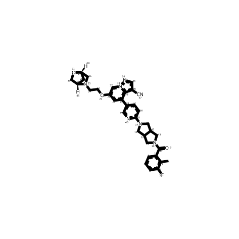 Cc1c(F)cccc1C(=O)N1CC2CN(c3ccc(-c4cc(OCCN5C[C@@H]6C[C@H]5CO6)cn5ncc(C#N)c45)cn3)CC2C1